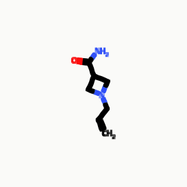 C=CCN1CC(C(N)=O)C1